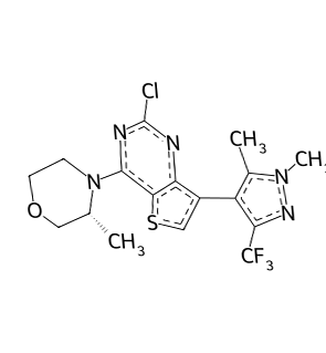 Cc1c(-c2csc3c(N4CCOC[C@H]4C)nc(Cl)nc23)c(C(F)(F)F)nn1C